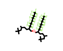 CC(CCC(COCC(CCC(C)CC(C)(C)C)C(F)(F)C(F)(F)C(F)(F)C(F)(F)C(F)(F)C(F)(F)F)C(F)(F)C(F)(F)C(F)(F)C(F)(F)C(F)(F)C(F)(F)F)CC(C)(C)C